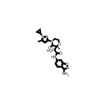 Cc1cc(N2CCO[C@](C)([C@@H](O)C(=O)Nc3ccc4c(N)noc4c3)C2=O)nn1C1CC1